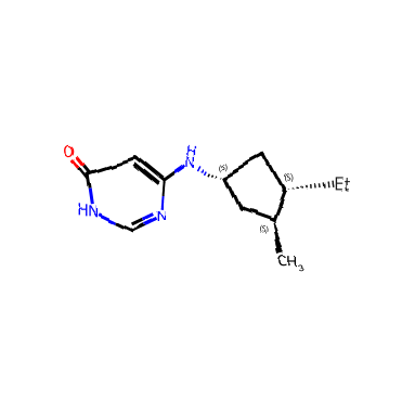 CC[C@H]1C[C@@H](Nc2cc(=O)[nH]cn2)C[C@@H]1C